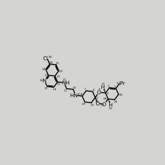 CC(C)C1=C[C@H]2OC3(CCC(NCCNc4ccnc5cc(Cl)ccc45)CC3)OO[C@H]2CC1